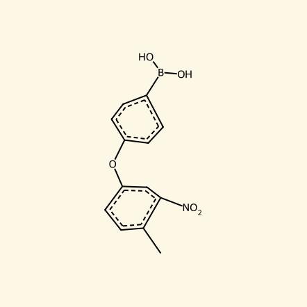 Cc1ccc(Oc2ccc(B(O)O)cc2)cc1[N+](=O)[O-]